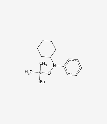 CC(C)(C)[Si](C)(C)ON(c1ccccc1)C1CCCCC1